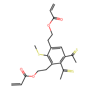 C=CC(=O)OCCc1cc(C(C)=S)c(C(C)=S)c(CCOC(=O)C=C)c1SC